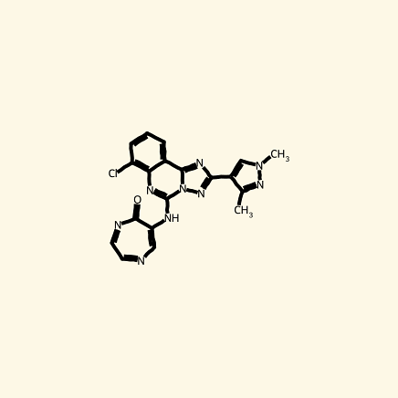 Cc1nn(C)cc1-c1nc2c3cccc(Cl)c3nc(Nc3cnccnc3=O)n2n1